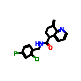 C=C1CCC(C(=O)NCc2ccc(F)cc2Cl)c2cccnc21